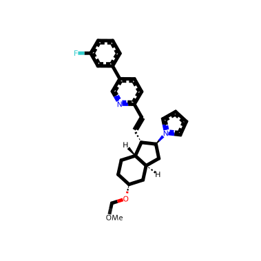 COCO[C@@H]1CC[C@H]2[C@H](C1)C[C@H](n1cccc1)[C@H]2C=Cc1ccc(-c2cccc(F)c2)cn1